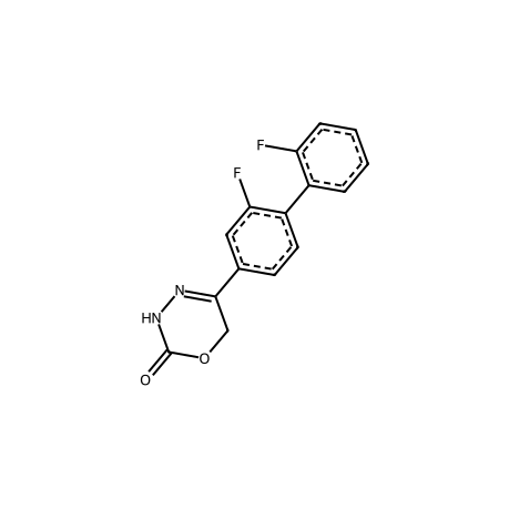 O=C1NN=C(c2ccc(-c3ccccc3F)c(F)c2)CO1